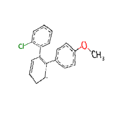 COc1ccc(C2=C(c3ccccc3Cl)C=CC[CH]2)cc1